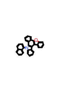 c1ccc2c(-n3c4ccccc4c4c5c6ccccc6oc5c5ccccc5c43)cccc2c1